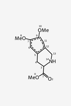 COC(=O)C1Cc2cc(OC)c(OC)cc2CN1